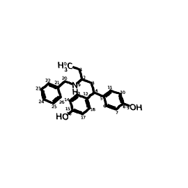 CCC(CC(c1ccc(O)cc1)c1ccc(O)cc1)NCc1ccccc1